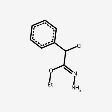 CCO/C(=N\N)C(Cl)c1ccccc1